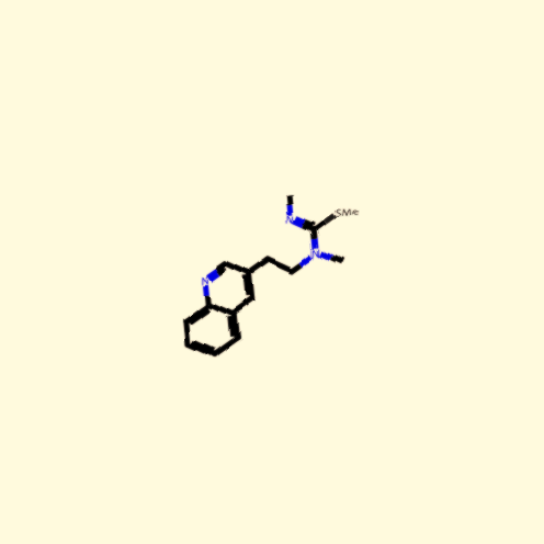 CN=C(SC)N(C)CCc1cnc2ccccc2c1